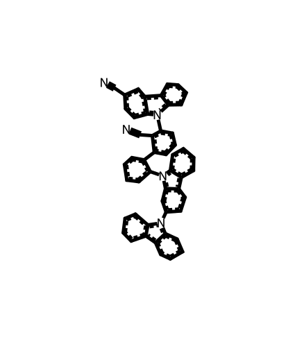 N#Cc1ccc2c(c1)c1ccccc1n2-c1cccc(-c2ccccc2-n2c3ccccc3c3ccc(-n4c5ccccc5c5ccccc54)cc32)c1C#N